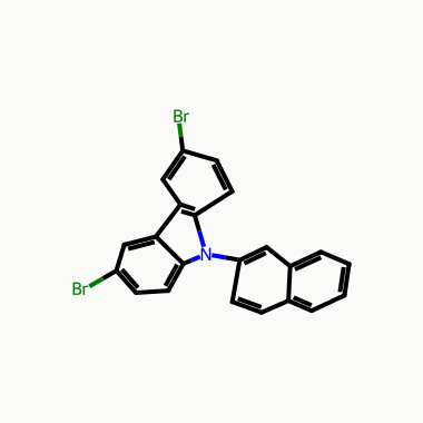 Brc1ccc2c(c1)c1cc(Br)ccc1n2-c1ccc2ccccc2c1